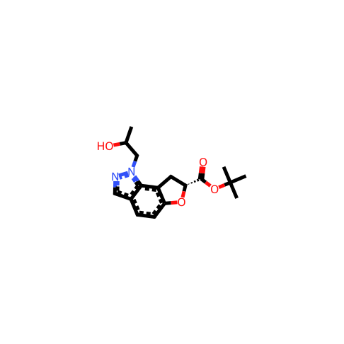 CC(O)Cn1ncc2ccc3c(c21)C[C@H](C(=O)OC(C)(C)C)O3